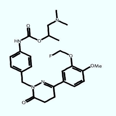 COc1ccc(C2=NN(Cc3ccc(NC(=O)OC(C)CN(C)C)cc3)C(=O)CC2)cc1OCF